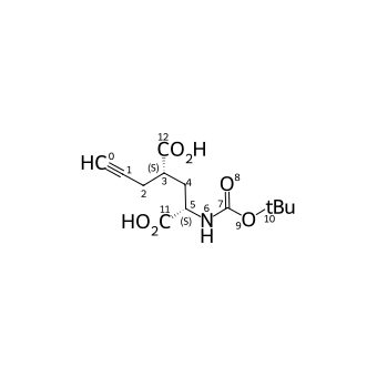 C#CC[C@@H](C[C@H](NC(=O)OC(C)(C)C)C(=O)O)C(=O)O